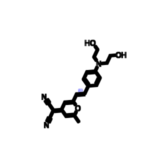 CC1=CC(=C(C#N)C#N)C=C(/C=C/c2ccc(N(CCO)CCO)cc2)O1